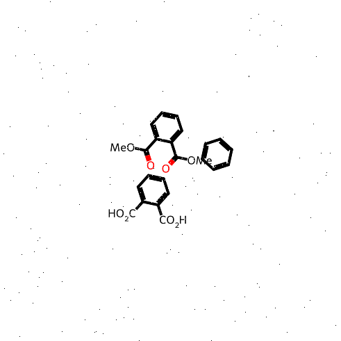 COC(=O)c1ccccc1C(=O)OC.O=C(O)c1ccccc1C(=O)O.c1ccccc1